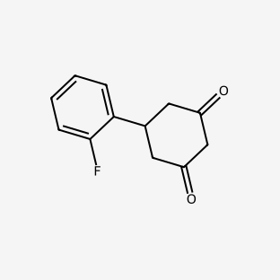 O=C1CC(=O)CC(c2ccccc2F)C1